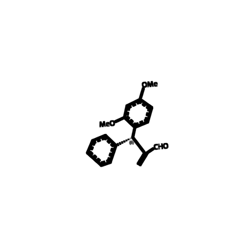 C=C(C=O)[C@H](c1ccccc1)c1ccc(OC)cc1OC